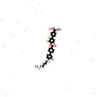 C=CCCCOc1ccc(C2CCC(C(=O)Oc3ccc(-c4ccc(C(O)CCC)cc4)c(F)c3F)CC2)cc1F